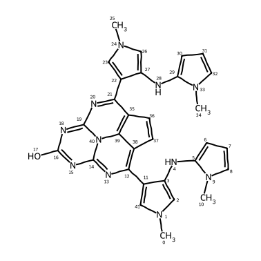 Cn1cc(Nc2cccn2C)c(-c2nc3nc(O)nc4nc(-c5cn(C)cc5Nc5cccn5C)c5ccc2c5n34)c1